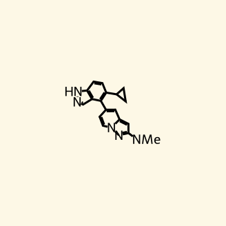 CNc1cc2cc(-c3c(C4CC4)ccc4[nH]ncc34)ccn2n1